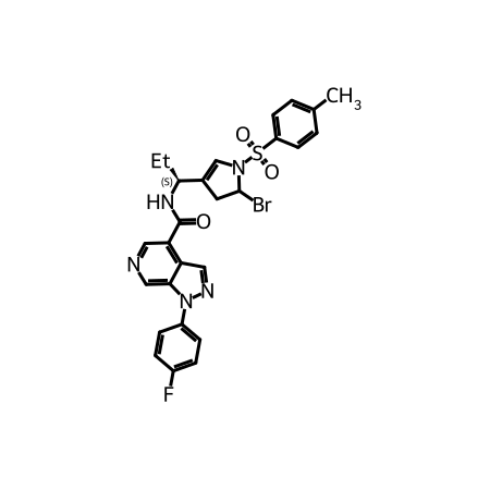 CC[C@H](NC(=O)c1cncc2c1cnn2-c1ccc(F)cc1)C1=CN(S(=O)(=O)c2ccc(C)cc2)C(Br)C1